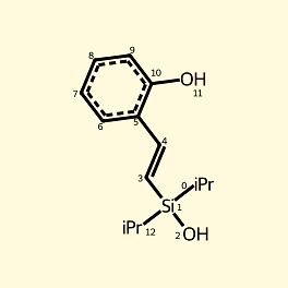 CC(C)[Si](O)(C=Cc1ccccc1O)C(C)C